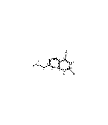 COCc1ccc2c(=O)oc(C)nc2c1